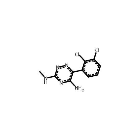 CNc1nnc(-c2cccc(Cl)c2Cl)c(N)n1